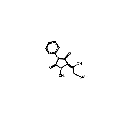 CSC/C(O)=C1/C(=O)N(c2ccccc2)C(=O)N1C